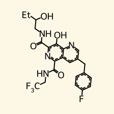 CCC(O)CNC(=O)c1nc(C(=O)NCC(F)(F)F)c2cc(Cc3ccc(F)cc3)cnc2c1O